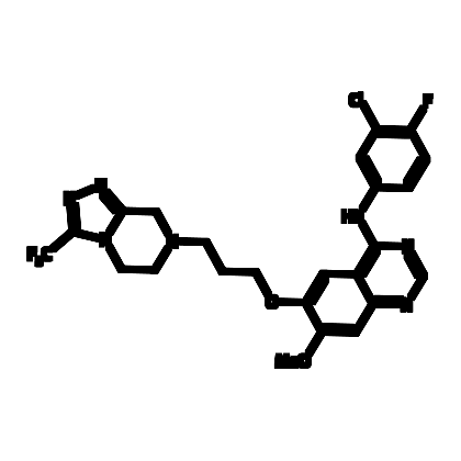 COc1cc2ncnc(Nc3ccc(F)c(Cl)c3)c2cc1OCCCN1CCn2c(nnc2C(F)(F)F)C1